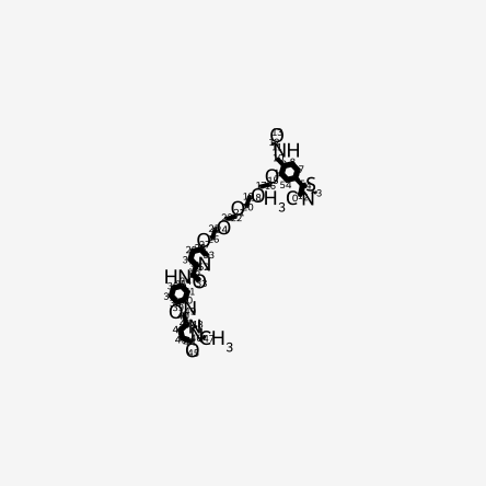 Cc1ncsc1-c1ccc(CNC=O)c(OCCOCCOCCOCCOc2ccc(C(=O)Nc3ccc4oc(-c5ccc(=O)n(C)n5)nc4c3)nc2)c1